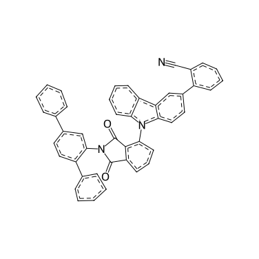 N#Cc1ccccc1-c1ccc2c(c1)c1ccccc1n2-c1cccc2c1C(=O)N(c1cc(-c3ccccc3)ccc1-c1ccccc1)C2=O